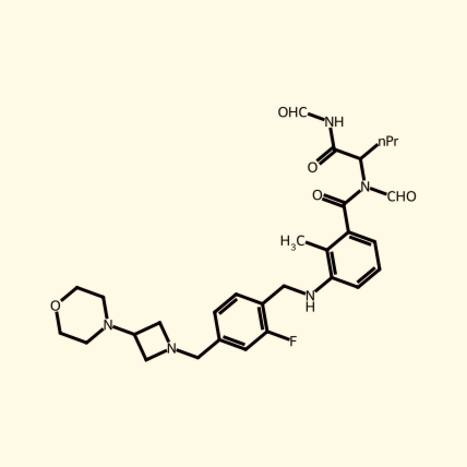 CCCC(C(=O)NC=O)N(C=O)C(=O)c1cccc(NCc2ccc(CN3CC(N4CCOCC4)C3)cc2F)c1C